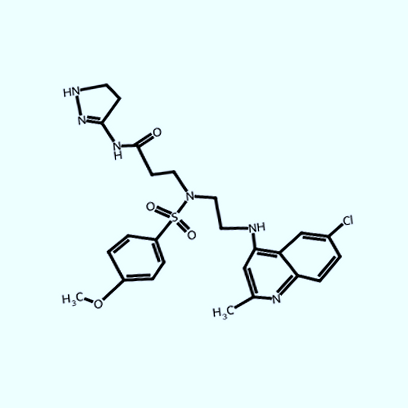 COc1ccc(S(=O)(=O)N(CCNc2cc(C)nc3ccc(Cl)cc23)CCC(=O)NC2=NNCC2)cc1